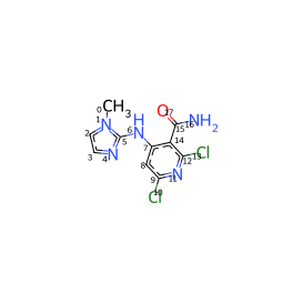 Cn1ccnc1Nc1cc(Cl)nc(Cl)c1C(N)=O